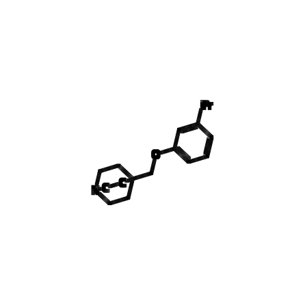 CC(C)c1cccc(OCC23CCN(CC2)CC3)c1